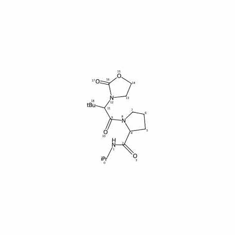 CC(C)NC(=O)C1CCCN1C(=O)C(N1CCOC1=O)C(C)(C)C